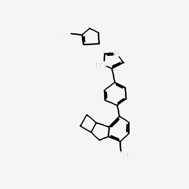 CC1=C[C@@H](c2ncc(-c3ccc(-c4ccc(C)c5c4C4CCC4C5)cc3)[nH]2)CC1